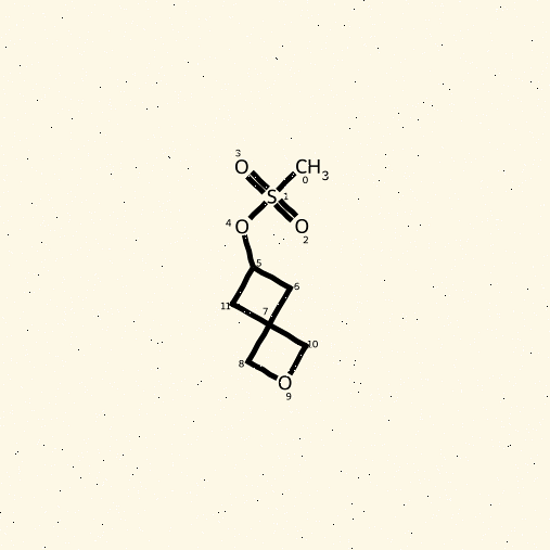 CS(=O)(=O)OC1CC2(COC2)C1